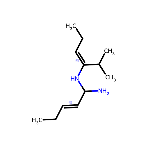 CC/C=C/C(N)N/C(=C/CC)C(C)C